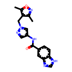 Cc1noc(C)c1Cn1cc(NC(=O)c2ccc3[nH]cnc3c2)cn1